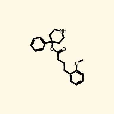 COc1ccccc1CCCC(=O)OC1(c2ccccc2)CCNCC1